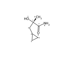 C[C@](O)(CC1CC1)C(N)=O